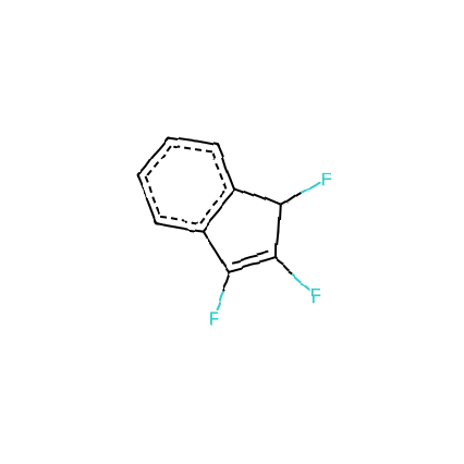 FC1=C(F)C(F)c2ccccc21